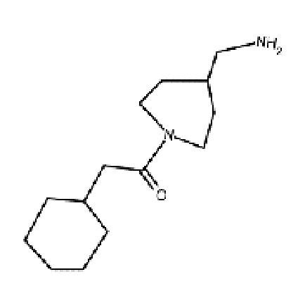 NCC1CCN(C(=O)CC2CCCCC2)CC1